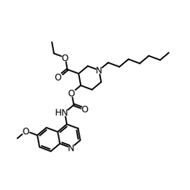 CCCCCCCN1CCC(OC(=O)Nc2ccnc3ccc(OC)cc23)C(C(=O)OCC)C1